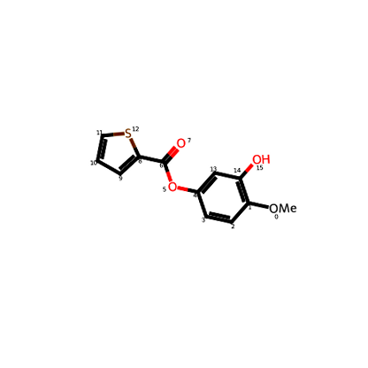 COc1ccc(OC(=O)c2cccs2)cc1O